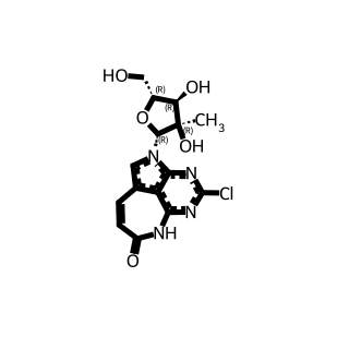 C[C@@]1(O)[C@H](O)[C@@H](CO)O[C@H]1n1cc2c3c(nc(Cl)nc31)NC(=O)C=C2